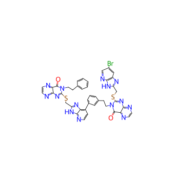 O=c1c2nccnc2nc(SCc2nc3cc(Br)cnc3[nH]2)n1CCc1cccc(-c2ccnc3[nH]c(CSc4nc5nccnc5c(=O)n4CCc4ccccc4)nc23)c1